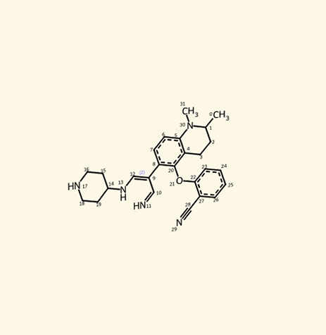 CC1CCc2c(ccc(/C(C=N)=C/NC3CCNCC3)c2Oc2ccccc2C#N)N1C